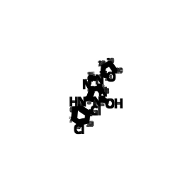 Oc1nc(Nc2ccc(Cl)cc2Cl)c2ncn(C3CCCO3)c2n1